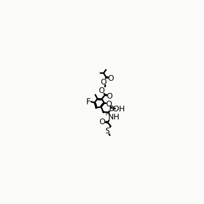 CSCC(=O)N[C@H]1Cc2cc(F)c(C)c(C(=O)OCOC(=O)C(C)C)c2OB1O